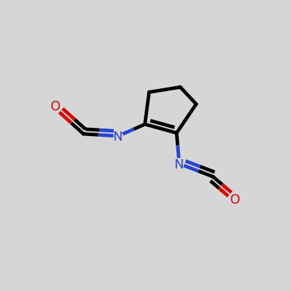 O=C=NC1=C(N=C=O)CCC1